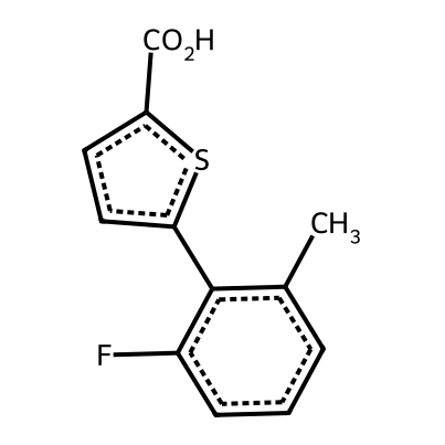 Cc1cccc(F)c1-c1ccc(C(=O)O)s1